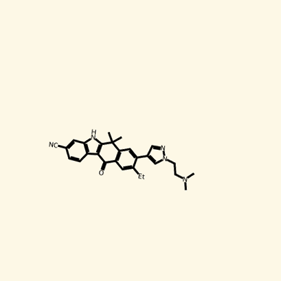 CCc1cc2c(cc1-c1cnn(CCN(C)C)c1)C(C)(C)c1[nH]c3cc(C#N)ccc3c1C2=O